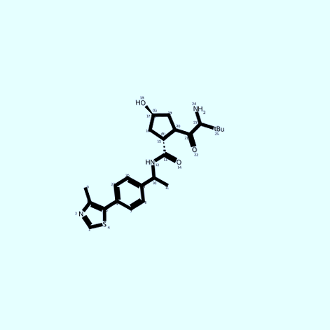 Cc1ncsc1-c1ccc(C(C)NC(=O)[C@@H]2C[C@@H](O)CC2C(=O)C(N)C(C)(C)C)cc1